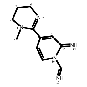 CN1CCCN=C1c1ccn(C=N)c(=N)c1